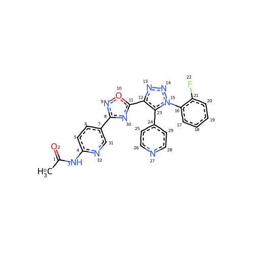 CC(=O)Nc1ccc(-c2noc(-c3nnn(-c4ccccc4F)c3-c3ccncc3)n2)cn1